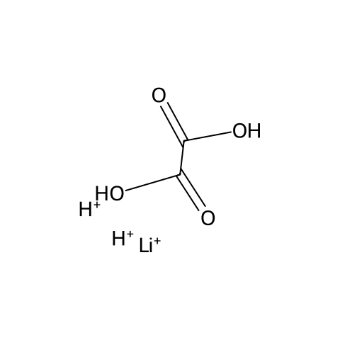 O=C(O)C(=O)O.[H+].[H+].[Li+]